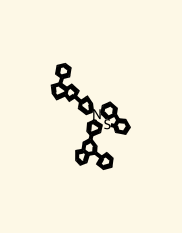 c1ccc(-c2cccc3cc(-c4ccc(N(c5ccc(-c6cc(-c7ccccc7)c7ccccc7c6)cc5)c5cccc6c5sc5ccccc56)cc4)ccc23)cc1